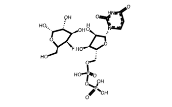 O=c1ccn([C@@H]2O[C@H](COP(=O)(O)OP(=O)(O)O)[C@@H](O)[C@H]2O)c(=O)[nH]1.OC[C@H]1O[C@H](O)[C@H](O)[C@@H](O)[C@H]1F